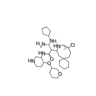 NC(NC1CCCC1)C(C(=O)NC1CNCCC1OC1CCCOC1)C1CC2(CCCCC2)CC/C(Cl)=C\N1